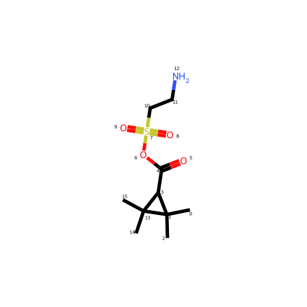 CC1(C)C(C(=O)OS(=O)(=O)CCN)C1(C)C